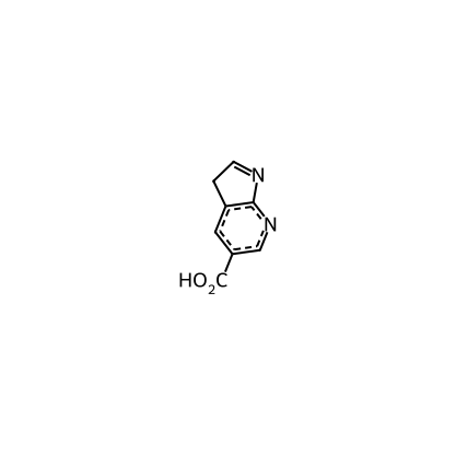 O=C(O)c1cnc2c(c1)CC=N2